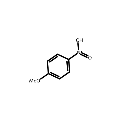 COc1ccc([N+](=O)O)cc1